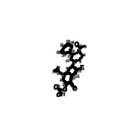 CC(=O)N1CCN(c2cc3c(cc2F)c(=O)c(OC(=O)O)cn3C2CC2)CC1c1ccccc1